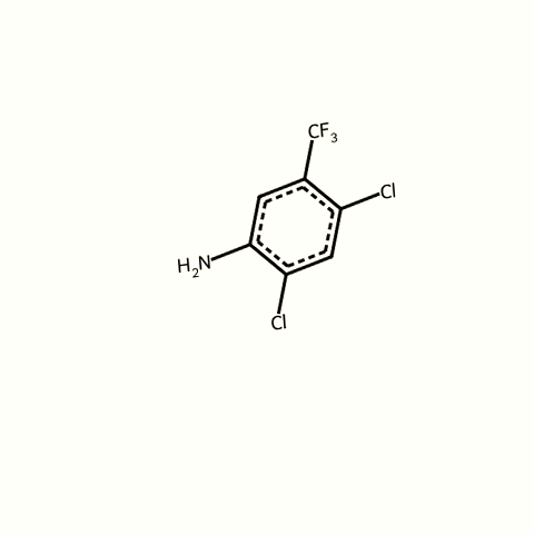 Nc1cc(C(F)(F)F)c(Cl)cc1Cl